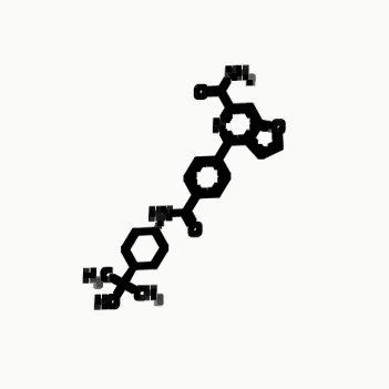 CC(C)(O)[C@H]1CC[C@H](NC(=O)c2ccc(-c3nc(C(N)=O)cc4occc34)cc2)CC1